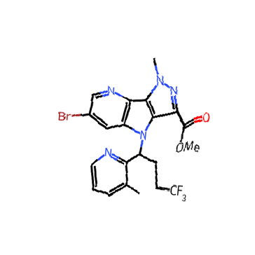 COC(=O)c1nn(C)c2c3ncc(Br)cc3n(C(CCC(F)(F)F)c3ncccc3C)c12